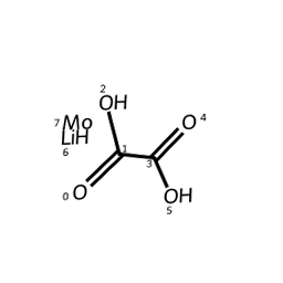 O=C(O)C(=O)O.[LiH].[Mo]